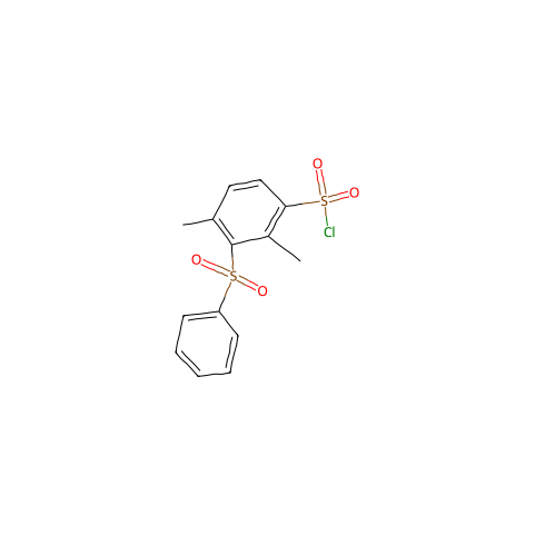 Cc1ccc(S(=O)(=O)Cl)c(C)c1S(=O)(=O)c1ccccc1